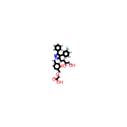 O=C(O)COCC1CCC(Cn2nc(-c3ccccc3)c(-c3cccc(F)c3)c2CCC(O)CO)CC1